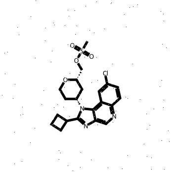 CS(=O)(=O)OC[C@@H]1C[C@H](n2c(C3CCC3)nc3cnc4ccc(Cl)cc4c32)CCO1